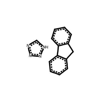 c1ccc2c(c1)Cc1ccccc1-2.c1nnn[nH]1